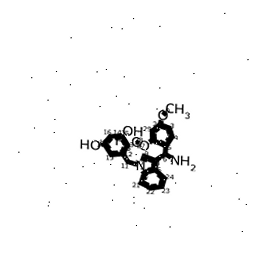 COc1ccc(C(N)c2cn(Cc3cc(O)cc(O)c3)c3ccccc23)c(OC)c1